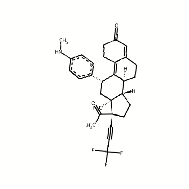 CNc1ccc([C@H]2C[C@@]3(C)[C@@H](CC[C@]3(C#CC(F)(F)F)C(C)=O)[C@@H]3CCC4=CC(=O)CCC4=C32)cc1